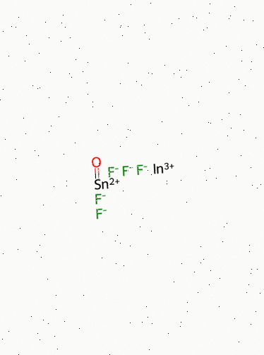 [F-].[F-].[F-].[F-].[F-].[In+3].[O]=[Sn+2]